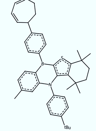 Cc1ccc2c(c1)N(c1ccc(C(C)(C)C)cc1)c1c(sc3c1C(C)(C)CCC3(C)C)B2c1ccc(C2C=CC=CCC2)cc1